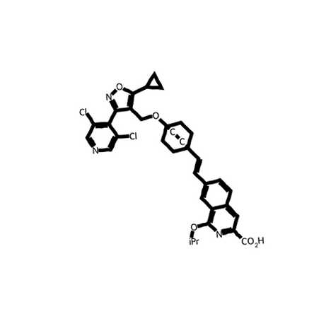 CC(C)Oc1nc(C(=O)O)cc2ccc(C=CC34CCC(OCc5c(-c6c(Cl)cncc6Cl)noc5C5CC5)(CC3)CC4)cc12